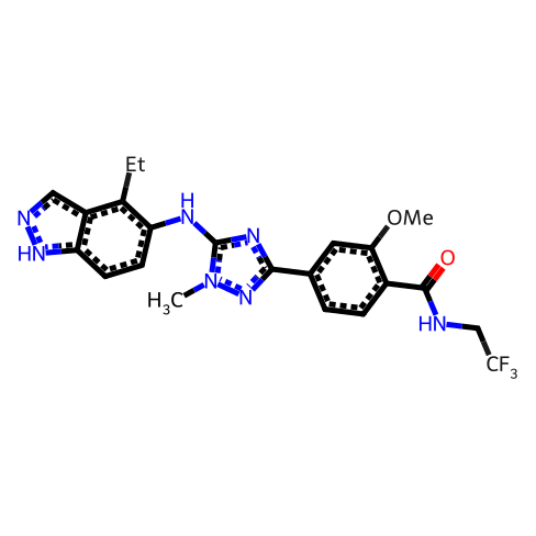 CCc1c(Nc2nc(-c3ccc(C(=O)NCC(F)(F)F)c(OC)c3)nn2C)ccc2[nH]ncc12